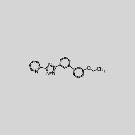 CCOc1cccc(-c2cccc(-n3nnc(-c4ccccn4)n3)c2)c1